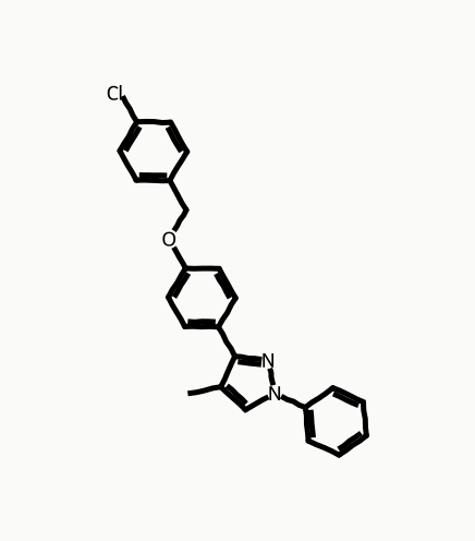 Cc1cn(-c2ccccc2)nc1-c1ccc(OCc2ccc(Cl)cc2)cc1